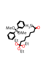 CCOC(CCCCCCC(=O)[SiH3])(OCC)OCC.CO[Si](OC)(c1ccccc1)c1ccccc1